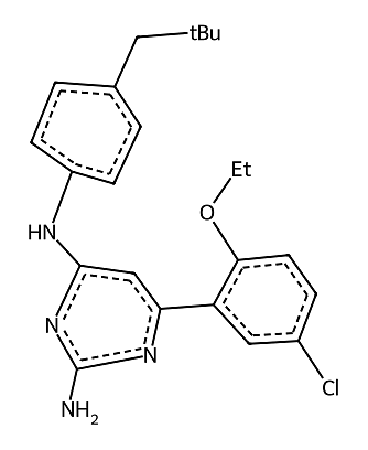 CCOc1ccc(Cl)cc1-c1cc(Nc2ccc(CC(C)(C)C)cc2)nc(N)n1